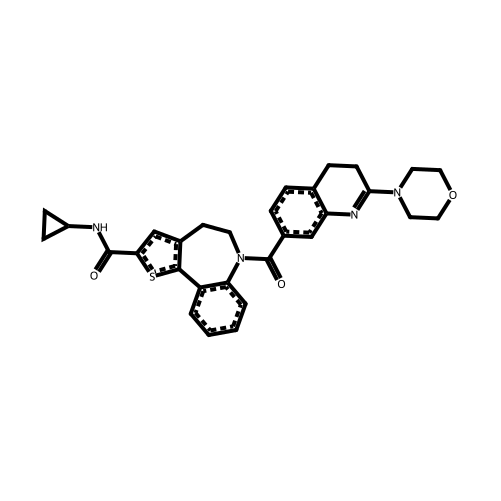 O=C(NC1CC1)c1cc2c(s1)-c1ccccc1N(C(=O)c1ccc3c(c1)N=C(N1CCOCC1)CC3)CC2